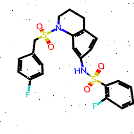 O=S(=O)(Nc1ccc2c(c1)N(S(=O)(=O)Cc1ccc(F)cc1)CCC2)c1ccc(F)cc1F